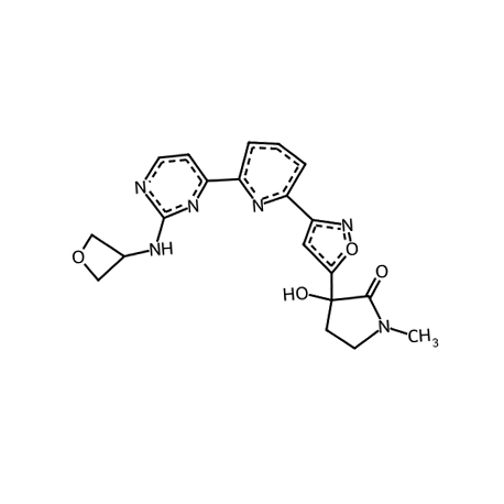 CN1CCC(O)(c2cc(-c3cccc(-c4ccnc(NC5COC5)n4)n3)no2)C1=O